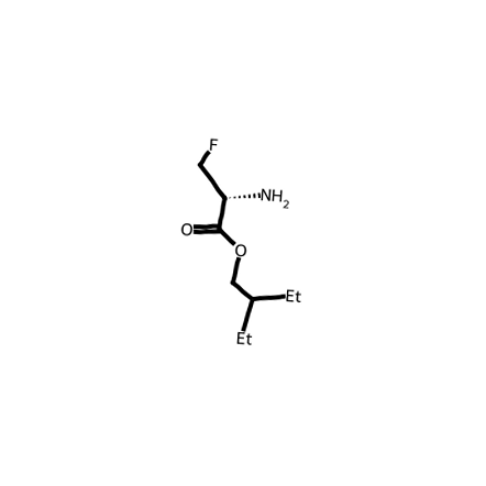 CCC(CC)COC(=O)[C@@H](N)CF